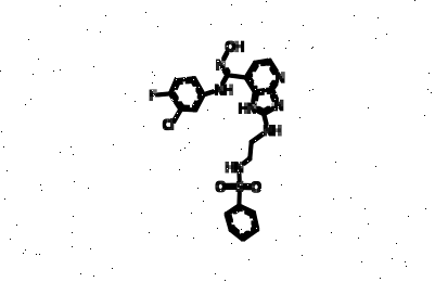 O=S(=O)(NCCNc1nc2nccc(/C(=N\O)Nc3ccc(F)c(Cl)c3)c2[nH]1)c1ccccc1